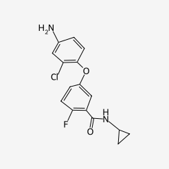 Nc1ccc(Oc2ccc(F)c(C(=O)NC3CC3)c2)c(Cl)c1